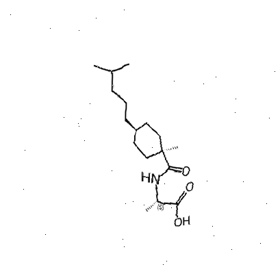 CC(C)CCC[C@H]1CC[C@@](C)(C(=O)N[C@@H](C)C(=O)O)CC1